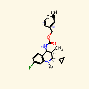 C#C/C=C(\C=C/C)COC(=O)NC1c2ccc(F)cc2N(C(C)=O)[C@@H](C2CC2)[C@@H]1C